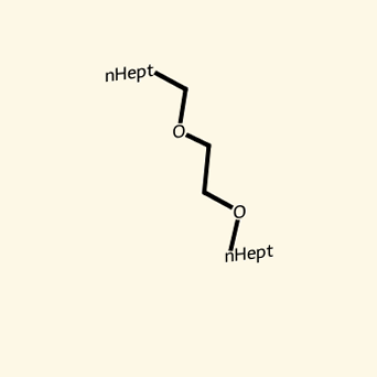 CCCCCCCCOCCOCCCCCCC